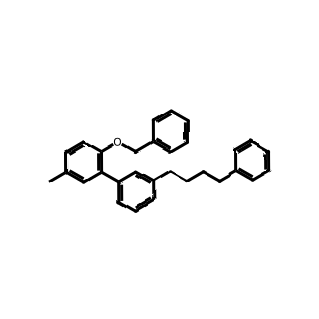 Cc1ccc(OCc2ccccc2)c(-c2cccc(CCCCc3ccccc3)c2)c1